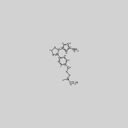 CN(CCOc1ccc(N2CCCC2c2csc(N)n2)cc1)C(=O)O